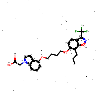 CCCc1c(OCCCCOc2cccc3c2ccn3CC(=O)O)ccc2c(C(F)(F)F)noc12